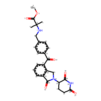 CC(C)(C)OC(=O)C(C)(C)NCc1ccc(C(=O)c2cccc3c2CN(C2CCC(=O)NC2=O)C3=O)cc1